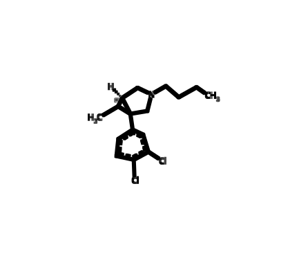 CCCCN1C[C@@H]2C(C)C2(c2ccc(Cl)c(Cl)c2)C1